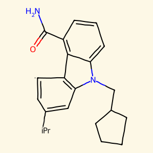 CC(C)c1c[c]c2c3c(C(N)=O)cccc3n(CC3CCCC3)c2c1